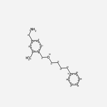 Cc1cc(CN)ccc1COCCCCc1ccccc1